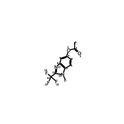 CC(=O)Oc1ccc2c(c1)nc(C(F)(F)F)n2C